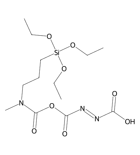 CCO[Si](CCCN(C)C(=O)OC(=O)N=NC(=O)O)(OCC)OCC